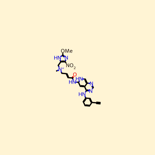 C#Cc1cccc(Nc2ncnc3c2=CC(NC(=O)/C=C/C[N+](C)(C)Cc2[nH]c(OC)nc2[N+](=O)[O-])NC=3)c1